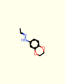 CC=NNc1ccc2c(c1)OCCO2